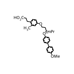 CCC[C@H](CCOc1ccc(CCC(=O)O)c(C)c1)Oc1ccc(-c2ccc(OC)cc2)cc1